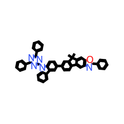 CC1(C)c2cc(-c3ccc4c(c3)c3ccccc3n4-c3nc(-c4ccccc4)nc(-c4ccccc4)n3)ccc2-c2cc3nc(-c4ccccc4)oc3cc21